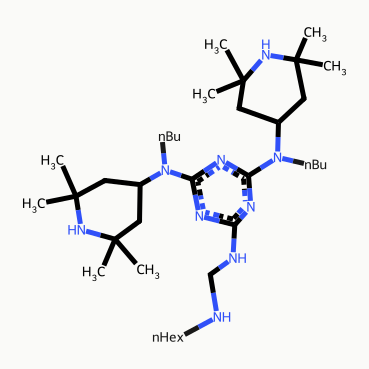 CCCCCCNCNc1nc(N(CCCC)C2CC(C)(C)NC(C)(C)C2)nc(N(CCCC)C2CC(C)(C)NC(C)(C)C2)n1